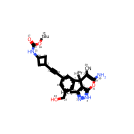 Cc1n[nH]c2c1C(c1cc(C#CC3CC(NC(=O)OC(C)(C)C)C3)cc(CO)c1)(C(C)C)C(C#N)=C(N)O2